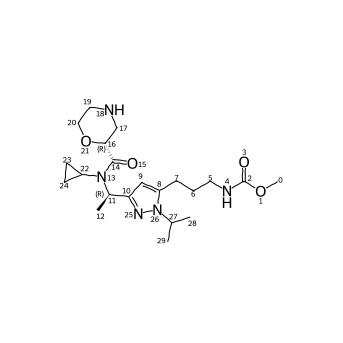 COC(=O)NCCCc1cc([C@@H](C)N(C(=O)[C@H]2CNCCO2)C2CC2)nn1C(C)C